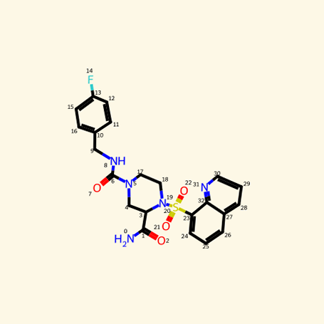 NC(=O)C1CN(C(=O)NCc2ccc(F)cc2)CCN1S(=O)(=O)c1cccc2cccnc12